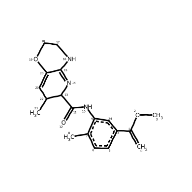 C=C(OC)c1ccc(C)c(NC(=O)C2N=C3NCCOC3=CC2C)c1